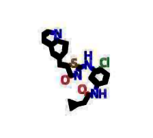 O=C(CC1CC1)Nc1ccc(Cl)c(NC2=NC(=O)/C(=C/c3ccc4ncccc4c3)S2)c1